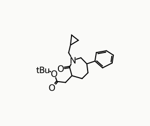 CC(C)(C)OC(=O)CC1CCC(c2ccccc2)CN(CC2CC2)C1=O